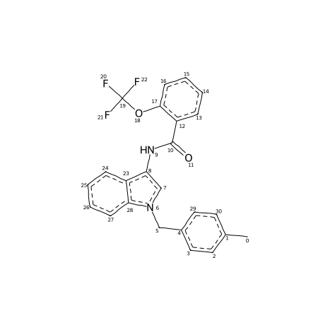 Cc1ccc(Cn2cc(NC(=O)c3ccccc3OC(F)(F)F)c3ccccc32)cc1